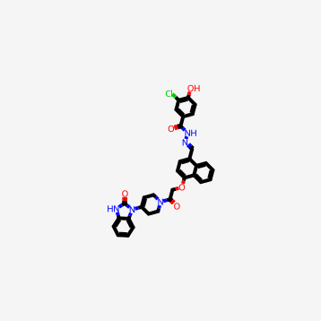 O=C(N/N=C/c1ccc(OCC(=O)N2CC=C(n3c(=O)[nH]c4ccccc43)CC2)c2ccccc12)c1ccc(O)c(Cl)c1